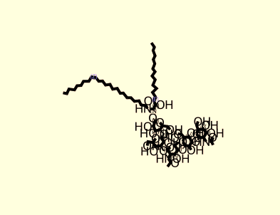 CCCCCCCC/C=C\CCCCCCCCCCCCCC(=O)N[C@@H](CO[C@@H]1OC(CO)[C@@H](O[C@@H]2OC(CO)[C@H](O)[C@H](O[C@@H]3OC(CO)[C@@H](O[C@@H]4OC(CO)[C@H](O)[C@H](O[C@@H]5OC(CO)[C@H](O)[C@H](O)C5NC(C)=O)C4O)[C@H](O)C3NC(C)=O)C2O)[C@H](O)C1O)[C@H](O)/C=C/CCCCCCCCCCCCC